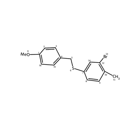 COc1ccc(CSc2ccc(C)c(Br)c2)cc1